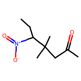 CCC([N+](=O)[O-])C(C)(C)CC(C)=O